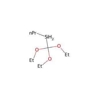 [CH2]CC[SiH2]C(OCC)(OCC)OCC